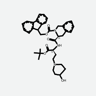 CC(C)(C)OC(=O)[C@H](CCN1CCC(O)CC1)NC(=O)[C@@H]1Cc2ccccc2CN1C(=O)OCC1c2ccccc2-c2ccccc21